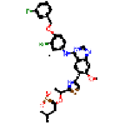 COc1cc2ncnc(Nc3ccc(OCc4cccc(F)c4)c(Br)c3)c2cc1-c1csc(C(C)OC(CC(C)C)=S(=O)=O)n1